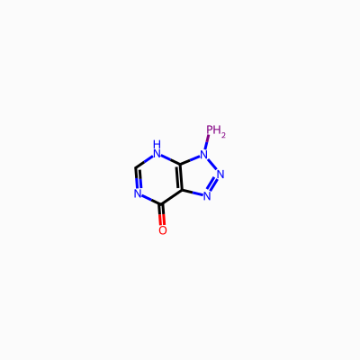 O=c1nc[nH]c2c1nnn2P